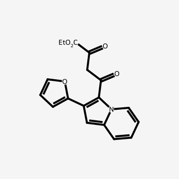 CCOC(=O)C(=O)CC(=O)c1c(-c2ccco2)cc2ccccn12